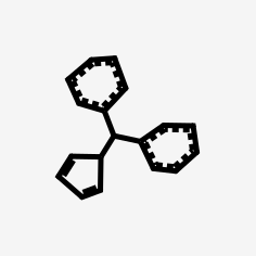 C1=CC(C(c2ccccc2)c2ccccc2)C=C1